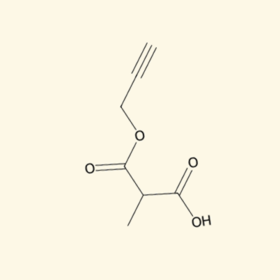 C#CCOC(=O)C(C)C(=O)O